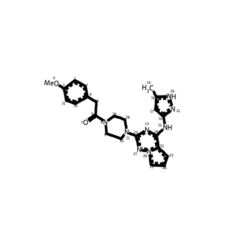 COc1ccc(CC(=O)N2CCN(c3nc(Nc4cc(C)[nH]n4)c4cccn4n3)CC2)cc1